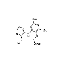 COCOc1c(Pc2ccccc2CO)cc(C(C)(C)C)cc1C(C)(C)C